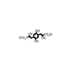 CCOC(=O)/C(C#N)=C/c1cc(O)c(/C=C(\C#N)C(=O)OCC)cc1O